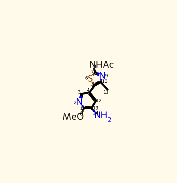 COc1ncc(-c2sc(NC(C)=O)nc2C)cc1N